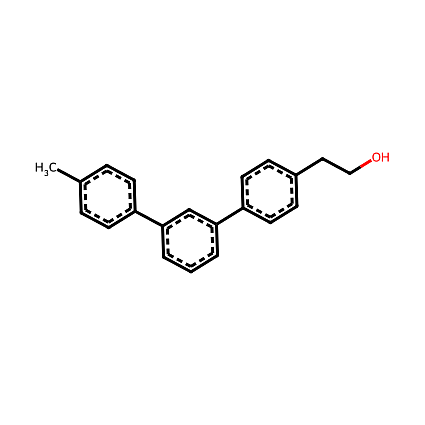 Cc1ccc(-c2cccc(-c3ccc(CCO)cc3)c2)cc1